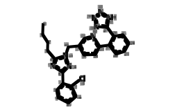 CCCCc1nc(-c2ccccc2Cl)nn1Cc1ccc(-c2ccccc2-c2nnn[nH]2)nc1